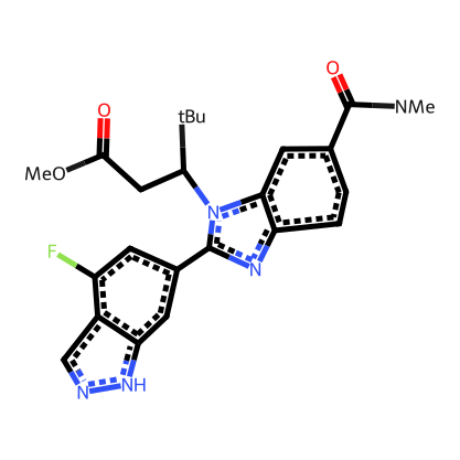 CNC(=O)c1ccc2nc(-c3cc(F)c4cn[nH]c4c3)n(C(CC(=O)OC)C(C)(C)C)c2c1